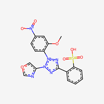 COc1cc([N+](=O)[O-])ccc1-[n+]1nc(-c2ccccc2S(=O)(=O)O)nn1-c1cocn1